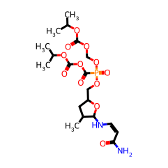 CC(C)OC(=O)OCOP(=O)(OCC1CC(C)C(N/C=C\C(N)=O)O1)C(=O)OC(=O)OC(C)C